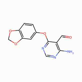 Nc1ncnc(Oc2ccc3c(c2)OCO3)c1C=O